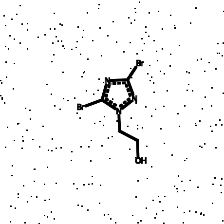 OCCn1nc(Br)nc1Br